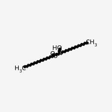 CCCCCCCCCCCCCCCCCCCC(=O)OCCN(CCO)CCCCCCCCCCCCCCCCCC